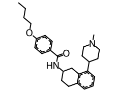 CCCCOc1ccc(C(=O)NC2CCc3cccc(C4CCN(C)CC4)c3C2)cc1